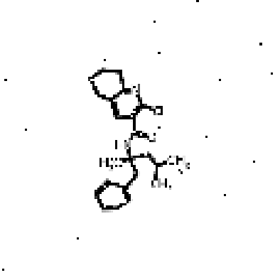 CC(C)CC(C)(Cc1ccccc1)NC(=O)c1cc2c(nc1Cl)CCCC2